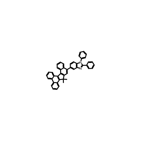 CC1(C)c2cc(-c3ccc4c(c3)nc(-c3ccccc3)n4-c3ccccc3)c3ccccc3c2-c2c1c1ccccc1c1ccccc21